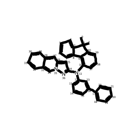 CC1(C)c2ccccc2-c2c(N(c3cccc(-c4ccccc4)c3)c3cc4cc5ccccc5cn4n3)cccc21